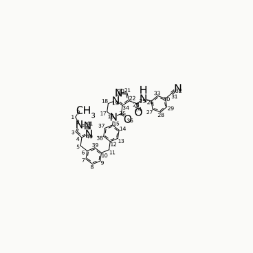 CCn1cc(Cc2cccc(Cc3ccc(N4CCn5ncc(C(=O)Nc6cccc(C#N)c6)c5C4=O)cc3)c2)nn1